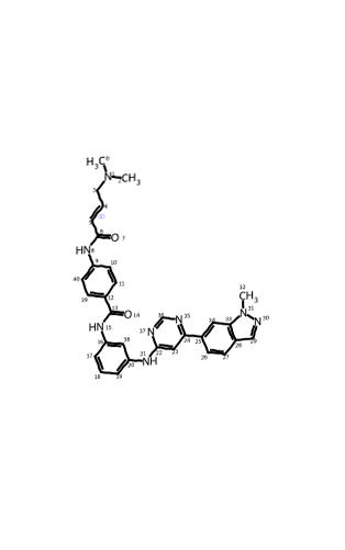 CN(C)C/C=C/C(=O)Nc1ccc(C(=O)Nc2cccc(Nc3cc(-c4ccc5cnn(C)c5c4)ncn3)c2)cc1